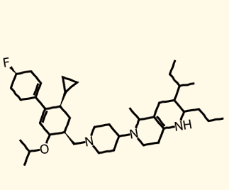 CCCC1NC2=C(CC1C(C)CC)C(C)N(C1CCN(C[C@@H]3C[C@H](C4CC4)C(C4=CC[C@H](F)CC4)=CC3OC(C)C)CC1)CC2